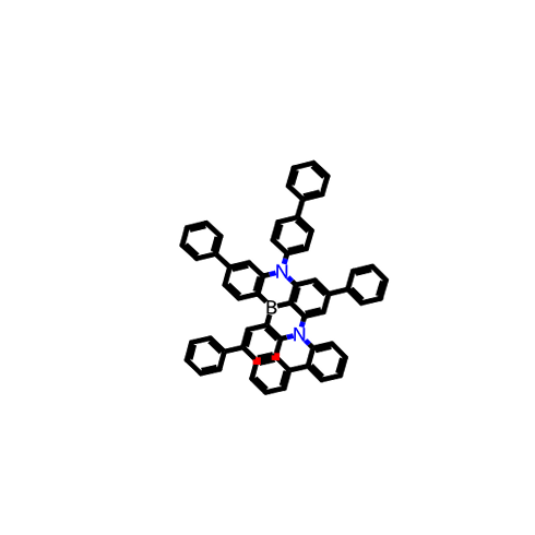 c1ccc(-c2ccc(N3c4cc(-c5ccccc5)ccc4B4c5cc(-c6ccccc6)ccc5N(c5ccccc5-c5ccccc5)c5cc(-c6ccccc6)cc3c54)cc2)cc1